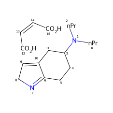 CCCN(CCC)C1CCC2=NCC=C2C1.O=C(O)/C=C\C(=O)O